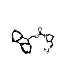 C=CC1CCN(C(=O)OCC2c3ccccc3-c3ccccc32)C1